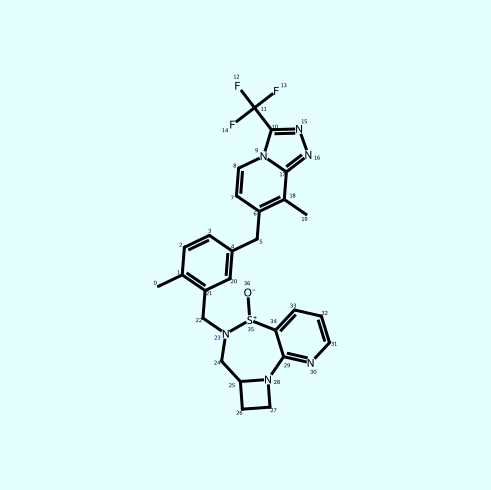 Cc1ccc(Cc2ccn3c(C(F)(F)F)nnc3c2C)cc1CN1CC2CCN2c2ncccc2[S+]1[O-]